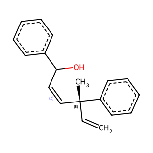 C=C[C@](C)(/C=C\C(O)c1ccccc1)c1ccccc1